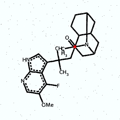 COc1cnc2[nH]cc(C(C)(C)CC(=O)N3C4CCC5C(C)CC3CC5C4)c2c1F